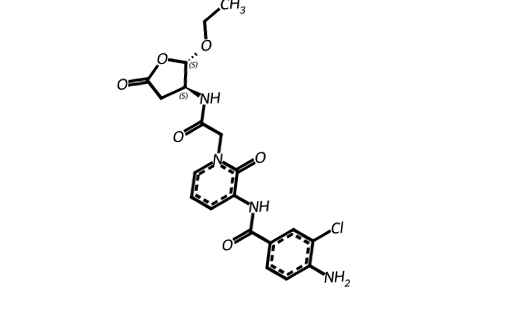 CCO[C@H]1OC(=O)C[C@@H]1NC(=O)Cn1cccc(NC(=O)c2ccc(N)c(Cl)c2)c1=O